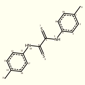 Cc1ccc(NC(=S)C(=S)Nc2ccc(C)cc2)cc1